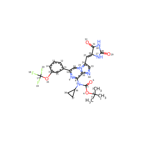 CC(C)(C)OC(=O)N(c1nc(-c2cccc(OC(F)(F)F)c2)cn2c(/C=C3\NC(=O)NC3=O)cnc12)C1CC1